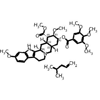 C=CCC(C)C.COC(=O)[C@H]1[C@H]2C[C@@H]3c4[nH]c5cc(OC)ccc5c4CCN3C[C@H]2C[C@@H](OC(=O)c2cc(OC)c(OC)c(OC)c2)[C@@H]1OC